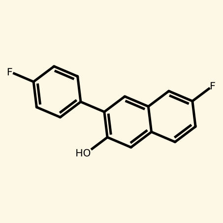 Oc1cc2ccc(F)cc2cc1-c1ccc(F)cc1